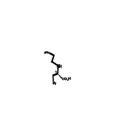 CC(C)CCN[C@@H](CC(C)C)C(=O)O